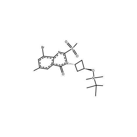 Cc1cc(Br)c2nc(S(C)(=O)=O)n([C@H]3C[C@H](O[Si](C)(C)C(C)(C)C)C3)c(=O)c2c1